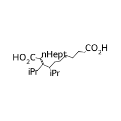 CCCCCCCC(C(=O)O)=C(C(C)C)C(CCCCCCC(=O)O)C(C)C